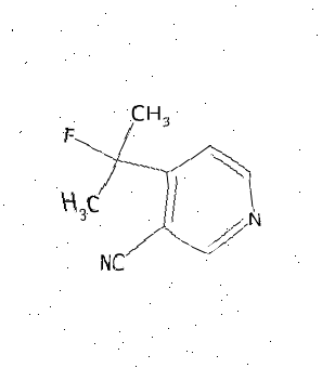 CC(C)(F)c1ccncc1C#N